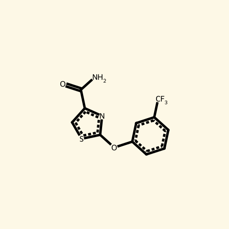 NC(=O)c1csc(Oc2cccc(C(F)(F)F)c2)n1